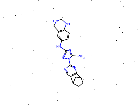 Nc1nc(Nc2ccc3c(c2)CNCN3)nn1-c1ncc2c(n1)C1CCC2C1